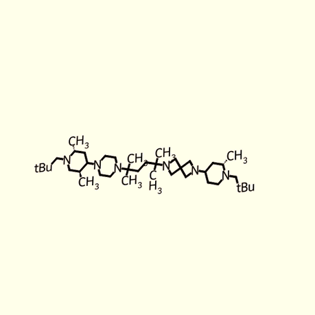 C[C@@H]1CC(N2CCN(C(C)(C)CCC(C)(C)N3CC4(CN(C5CCN(CC(C)(C)C)[C@@H](C)C5)C4)C3)CC2)[C@@H](C)CN1CC(C)(C)C